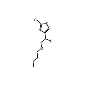 CCCCOCC(F)c1csc(Cl)n1